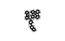 c1ccc(C2(c3ccc(N(c4ccc(-c5ccc6ccccc6c5)cc4)c4cccc5c4oc4ccccc45)cc3)c3ccccc3-c3ccccc32)cc1